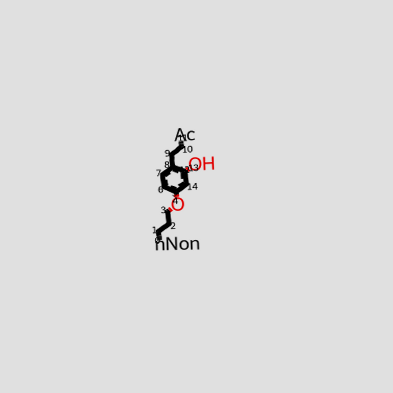 CCCCCCCCCCCCOc1ccc(CCC(C)=O)c(O)c1